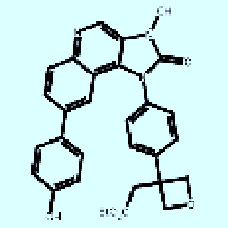 CCOC(=O)CC1(c2ccc(-n3c(=O)n(C)c4cnc5ccc(-c6ccc(O)cc6)cc5c43)cc2)COC1